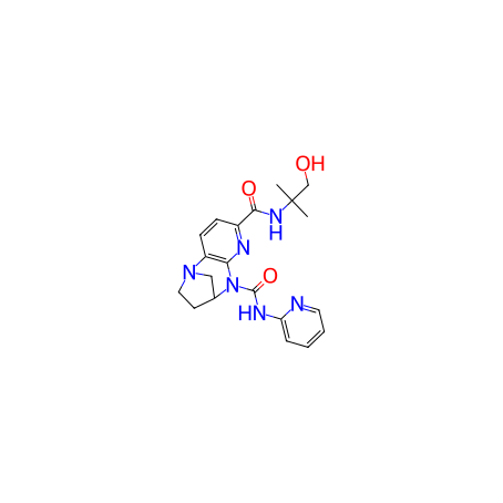 CC(C)(CO)NC(=O)c1ccc2c(n1)N(C(=O)Nc1ccccn1)C1CCN2C1